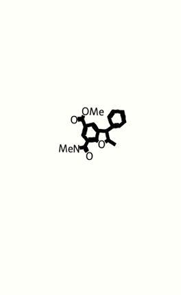 CNC(=O)c1cc(C(=O)OC)cc2c1OC(C)C2c1ccccc1